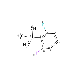 C[Si](C)(C)c1c(F)cccc1I